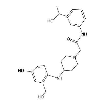 CC(O)c1cccc(NC(=O)CN2CCC(Nc3ccc(O)cc3CO)CC2)c1